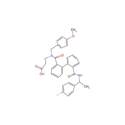 COc1ccc(CN(CCC(=O)O)C(=O)c2ccccc2-c2ccccc2C(=O)NC(C)c2ccc(F)cc2)cc1